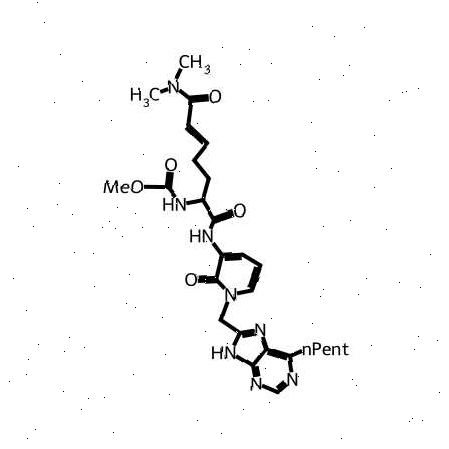 CCCCCc1ncnc2[nH]c(Cn3cccc(NC(=O)C(CCC=CC(=O)N(C)C)NC(=O)OC)c3=O)nc12